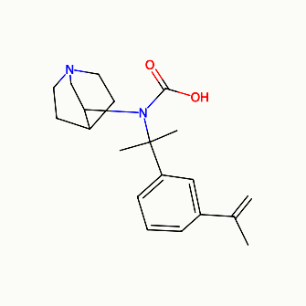 C=C(C)c1cccc(C(C)(C)N(C(=O)O)C2CN3CCC2CC3)c1